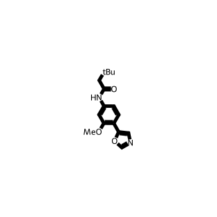 COc1cc(NC(=O)CC(C)(C)C)ccc1-c1cnco1